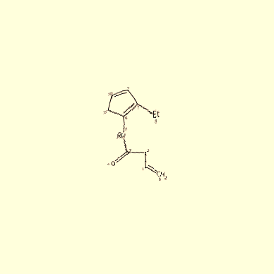 C=CC[C](=O)[Ru][C]1=C(CC)C=CC1